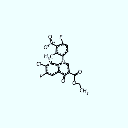 CCOC(=O)c1cn(-c2ccc(F)c([N+](=O)[O-])c2C)c2nc(Cl)c(F)cc2c1=O